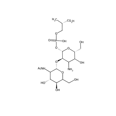 CC(=O)NC1[C@H](O[C@@H]2C(N)C(O)[C@@H](CO)O[C@H]2OP(=O)(O)OC[C@H](C)C(=O)O)OC(CO)[C@@H](O)[C@@H]1O